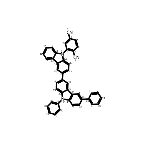 N#Cc1ccc(C#N)c(-n2c3ccccc3c3cc(-c4ccc5c(c4)c4cc(-c6ccccc6)ccc4n5-c4ccccc4)ccc32)c1